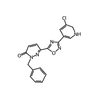 O=c1ccc(-c2nc(C3=CNCC(Cl)=C3)no2)nn1Cc1ccccc1